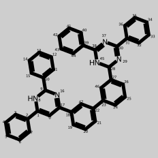 C1=C(c2ccccc2)NC(c2ccccc2)N=C1c1cccc(-c2cccc(C3N=C(c4ccccc4)N=C(c4ccccc4)N3)c2)c1